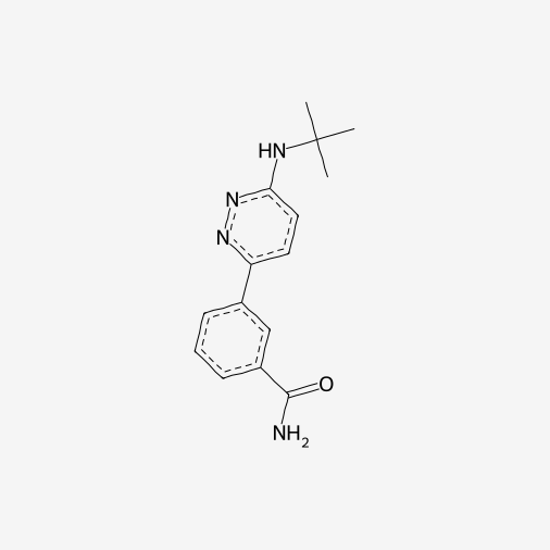 CC(C)(C)Nc1ccc(-c2cccc(C(N)=O)c2)nn1